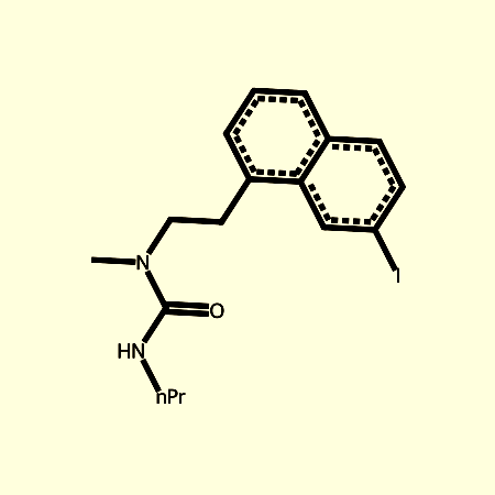 CCCNC(=O)N(C)CCc1cccc2ccc(I)cc12